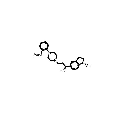 COc1ccccc1N1CCN(CCC(O)c2ccc3c(c2)CCN3C(C)=O)CC1